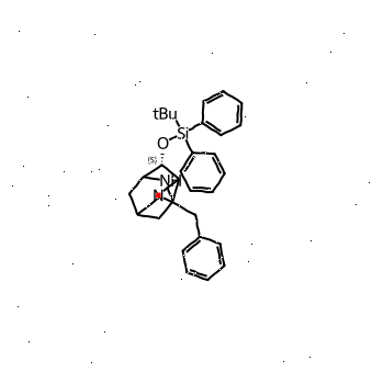 CC(C)(C)[Si](O[C@H]1C2CC3CC(N2)C1N(Cc1ccccc1)C3)(c1ccccc1)c1ccccc1